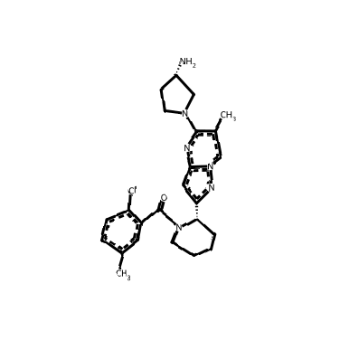 Cc1ccc(Cl)c(C(=O)N2CCCC[C@H]2c2cc3nc(N4CC[C@H](N)C4)c(C)cn3n2)c1